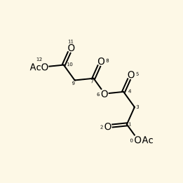 CC(=O)OC(=O)CC(=O)OC(=O)CC(=O)OC(C)=O